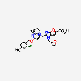 N#Cc1ccc(COc2cccc(C34CCN(Cc5nc6oc(C(=O)O)cc6n5CC5CCO5)CC3C4)n2)c(F)c1